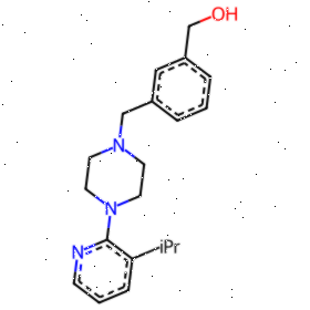 CC(C)c1cccnc1N1CCN(Cc2cccc(CO)c2)CC1